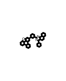 c1ccc(-c2nc(-c3cccc(-c4cc5oc6cccc7c8ccccc8c(c4)c5c67)c3)nc3c2ccc2ccccc23)cc1